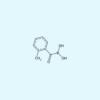 Cc1ccccc1C(=O)B(O)O